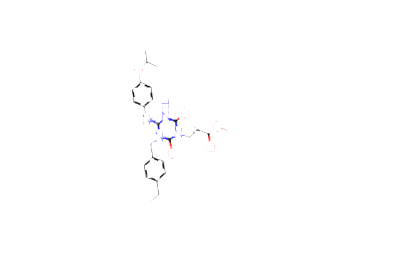 CCc1ccc(Cn2c(=O)n(C[C@H](C)C(=O)OC)c(=O)[nH]/c2=N\c2ccc(OC(C)C)cc2)cc1